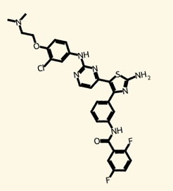 CN(C)CCOc1ccc(Nc2nccc(-c3sc(N)nc3-c3cccc(NC(=O)c4cc(F)ccc4F)c3)n2)cc1Cl